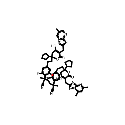 Cc1cnc2nc(CC3=C(O)CC(CCc4cc(F)c(C(C)(C#N)CCC(C)(C#N)c5ccc(CCC6(C7CCCC7)CC(O)=C(Cc7nc8nc(C)cc(C)n8n7)C(=O)O6)cc5Cl)c(F)c4)(C4CCCC4)OC3=O)nn2c1